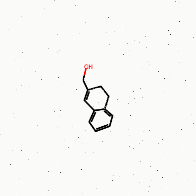 OCC1=Cc2ccccc2CC1